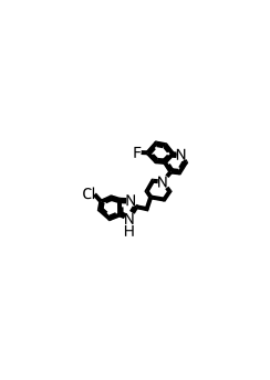 Fc1ccc2nccc(N3CCC(Cc4nc5cc(Cl)ccc5[nH]4)CC3)c2c1